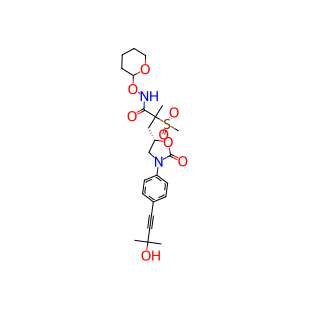 CC(C)(O)C#Cc1ccc(N2C[C@H](CC(C)(C(=O)NOC3CCCCO3)S(C)(=O)=O)OC2=O)cc1